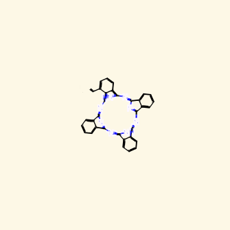 C=Cc1cccc2c3nc4nc(nc5[nH]c(nc6nc(nc([nH]3)c12)-c1ccccc1-6)c1ccccc51)-c1ccccc1-4